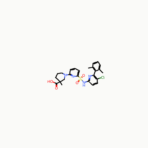 Cc1cccc(C)c1-c1nc(NS(=O)(=O)c2cccc(N3CCCC(C)(C(=O)O)C3)n2)ccc1Cl